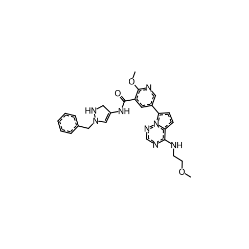 COCCNc1ncnn2c(-c3cnc(OC)c(C(=O)NC4=CN(Cc5ccccc5)NC4)c3)ccc12